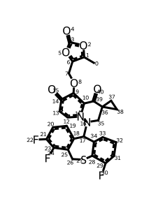 Cc1oc(=O)oc1COc1c2n(ccc1=O)N(C1c3ccc(F)c(F)c3CSc3c(F)cccc31)CC1(CC1)C2=O